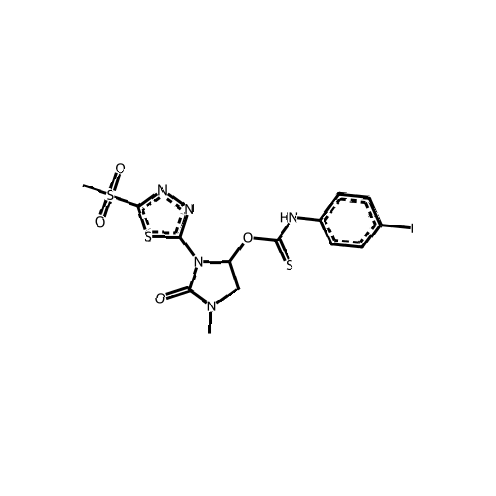 CN1CC(OC(=S)Nc2ccc(I)cc2)N(c2nnc(S(C)(=O)=O)s2)C1=O